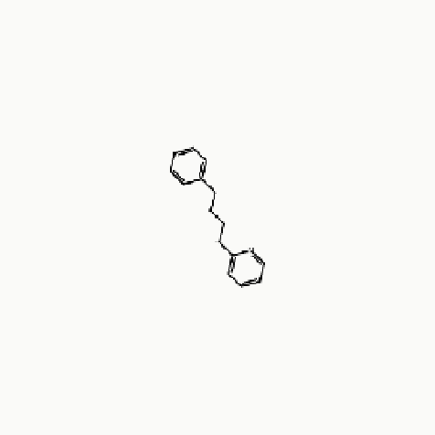 [CH](CCCc1ccccc1)c1ccccn1